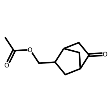 CC(=O)OCC1CC2CC1CC2=O